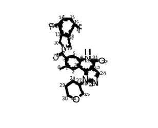 Cc1cc2c(cc1C(=O)N1Cc3c(F)ccc(F)c3C1)[nH]c(=O)c1cnn(C3CCCOC3)c12